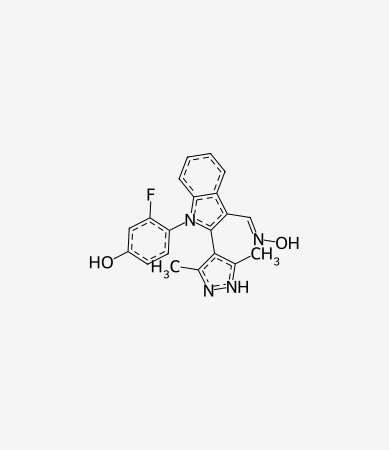 Cc1n[nH]c(C)c1-c1c(C=NO)c2ccccc2n1-c1ccc(O)cc1F